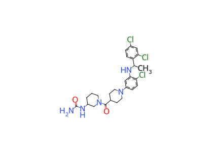 CC(Nc1cc(N2CCC(C(=O)N3CCCC(NC(N)=O)C3)CC2)ccc1Cl)c1ccc(Cl)cc1Cl